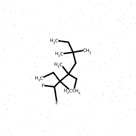 CCC(C)(C)CC(C)(CC)C(C)(CC)C(F)F